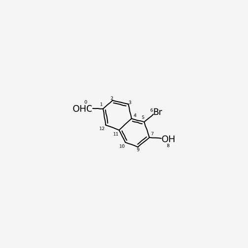 O=Cc1ccc2c(Br)c(O)ccc2c1